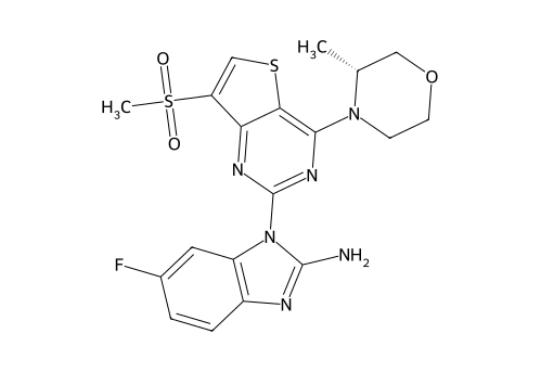 C[C@@H]1COCCN1c1nc(-n2c(N)nc3ccc(F)cc32)nc2c(S(C)(=O)=O)csc12